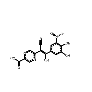 N#CC(=C(O)c1cc(O)c(O)c([N+](=O)[O-])c1)c1cnc(C(=O)O)cn1